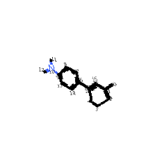 CC1=CC[CH]C(c2ccc(N(C)C)cc2)=C1